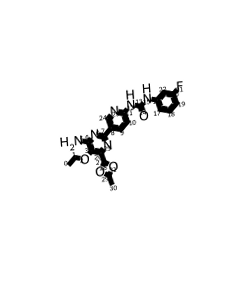 CCOc1c(N)nc(-c2ccc(NC(=O)Nc3cccc(F)c3)nc2)nc1C1OC(C)O1